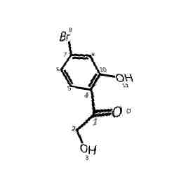 O=C(CO)c1ccc(Br)cc1O